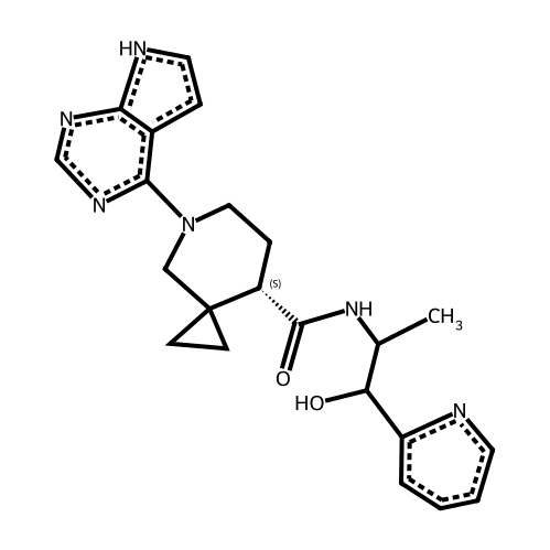 CC(NC(=O)[C@H]1CCN(c2ncnc3[nH]ccc23)CC12CC2)C(O)c1ccccn1